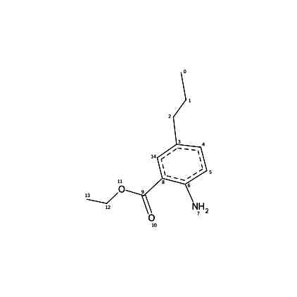 CCCc1ccc(N)c(C(=O)OCC)c1